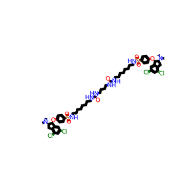 CN(C)[C@H]1Cc2c(Cl)cc(Cl)cc2[C@@H]1Oc1ccc(S(=O)(=O)NCCCCCCCCNC(=O)NCCCCNC(=O)NCCCCCCCCNS(=O)(=O)c2ccc(O[C@H]3c4cc(Cl)cc(Cl)c4C[C@@H]3N(C)C)cc2)cc1